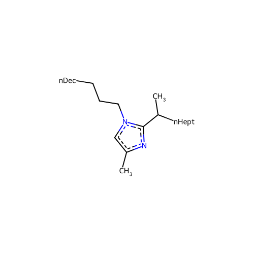 CCCCCCCCCCCCCn1cc(C)nc1C(C)CCCCCCC